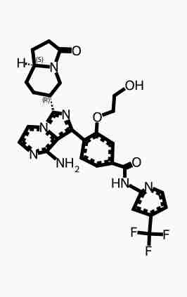 Nc1nccn2c([C@@H]3CC[C@H]4CCC(=O)N4C3)nc(-c3ccc(C(=O)Nc4cc(C(F)(F)F)ccn4)cc3OCCO)c12